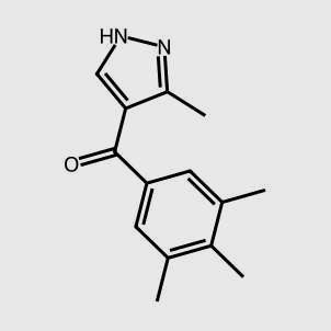 Cc1cc(C(=O)c2c[nH]nc2C)cc(C)c1C